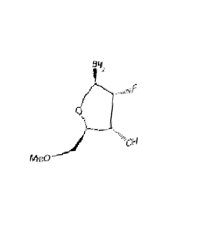 B[C@@H]1O[C@H](COC)[C@@H](O)[C@H]1F